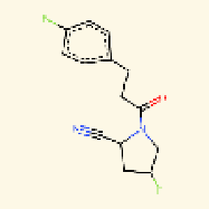 N#CC1CC(F)CN1C(=O)CCc1ccc(F)cc1